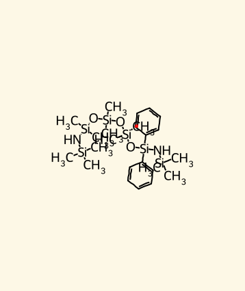 C[Si](C)(C)N[Si](C)(C)O[Si](C)(C)O[Si](C)(C)O[Si](N[Si](C)(C)C)(c1ccccc1)c1ccccc1